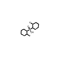 O=P(O)(C1CCCCC1F)C1CCCCC1F